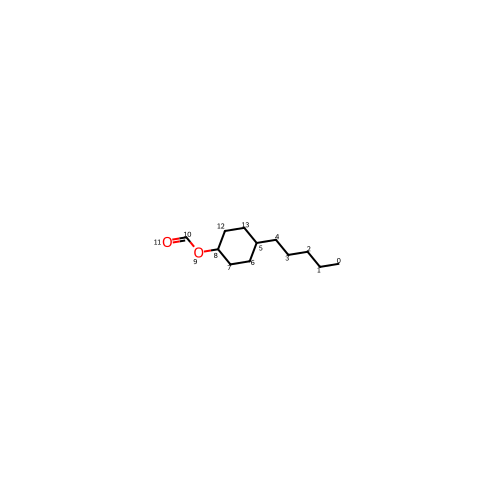 CCCCCC1CCC(OC=O)CC1